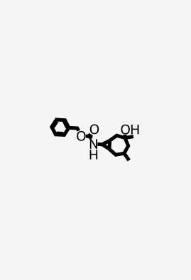 CC1CC2C(CC(C)(O)C1)C2NC(=O)OCc1ccccc1